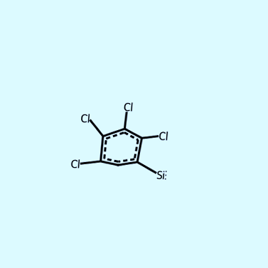 [Si]c1cc(Cl)c(Cl)c(Cl)c1Cl